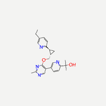 CCc1ccc([C@H]2C[C@@H]2COc2nc(C)ncc2-c2ccc(C(C)(C)O)nc2)nc1